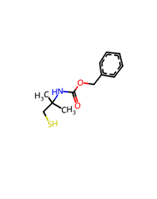 CC(C)(CS)NC(=O)OCc1ccccc1